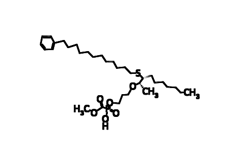 CCCCCCC[C@@H](SCCCCCCCCCCCCc1ccccc1)[C@H](C)OCCCOP(=O)(O)C(=O)OC